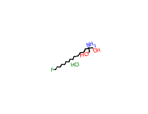 Cl.NC(CO)(CO)CCCCCCCCCCCCCCF